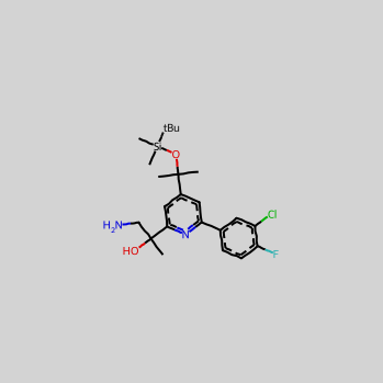 CC(O)(CN)c1cc(C(C)(C)O[Si](C)(C)C(C)(C)C)cc(-c2ccc(F)c(Cl)c2)n1